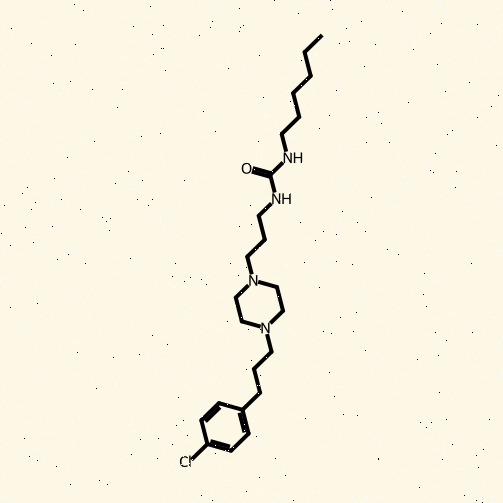 CCCCCCNC(=O)NCCCN1CCN(CCCc2ccc(Cl)cc2)CC1